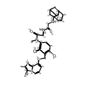 Cc1nc2c(OCc3c(Cl)ccc(N(C)C(=O)CNC(=O)CNC45CC6CC(CC(C6)C4)C5)c3Cl)cccn2c1Br